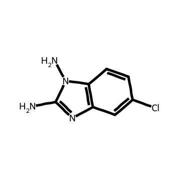 Nc1nc2cc(Cl)ccc2n1N